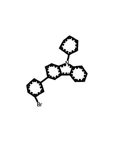 Brc1cccc(-c2ccc3c(c2)c2ccccc2n3-c2ccccc2)c1